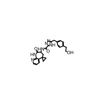 O=C(NC1CC2(CC2)c2cccnc2NC1=O)c1nnc(Cc2ccc(CCO)cc2)[nH]1